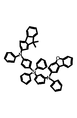 CC1(C)c2ccccc2-c2ccc(N(c3ccccc3)c3ccc([Si](c4ccccc4)(c4ccccc4)c4cccc(N(c5ccccc5)c5ccc6oc7ccccc7c6c5)c4)cc3)cc21